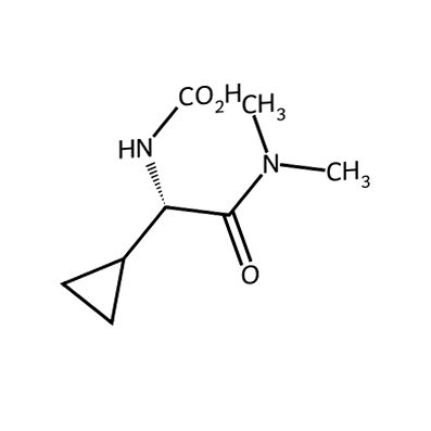 CN(C)C(=O)[C@@H](NC(=O)O)C1CC1